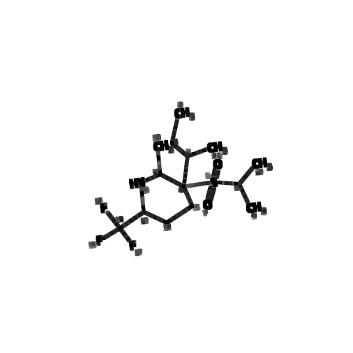 CCC(C)C1(S(=O)(=O)C(C)C)CCC(C(F)(F)F)NC1C